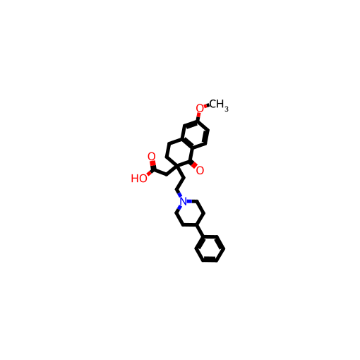 COc1ccc2c(c1)CCC(CCN1CCC(c3ccccc3)CC1)(CC(=O)O)C2=O